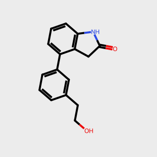 O=C1Cc2c(cccc2-c2cccc(CCO)c2)N1